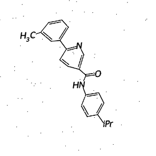 Cc1cccc(-c2ccc(C(=O)Nc3ccc(C(C)C)cc3)cn2)c1